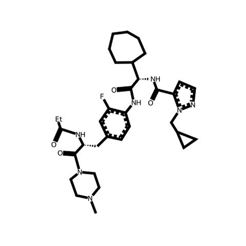 CCC(=O)N[C@H](Cc1ccc(NC(=O)[C@@H](NC(=O)c2ccnn2CC2CC2)C2CCCCCC2)c(F)c1)C(=O)N1CCN(C)CC1